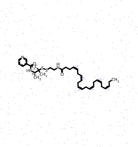 [CH2][C@@H](NC(=O)c1cccnc1)C(C)(C)SSCCNC(=O)CC/C=C\C/C=C\C/C=C\C/C=C\C/C=C\C/C=C\CC